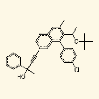 Cc1cc2ccc(C#CC(C)(O)c3ccccc3)cc2c(-c2ccc(Cl)cc2)c1C(C)OC(C)(C)C